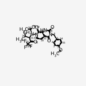 COc1ccc(Cn2c(=O)[nH]c3c(=O)n(N(C(C)=O)C(C(=O)C(F)(F)F)C(C)C)ccc3c2=O)cc1